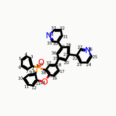 O=P1(c2ccccc2)c2ccccc2Oc2ccc(-c3cc(-c4cccnc4)cc(-c4cccnc4)c3)cc21